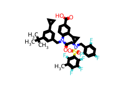 Cc1c(F)c(F)c(F)c(S(=O)(=O)N(CC(=O)N(Cc2cc(C3CC3)cc(C(C)(C)C)c2)c2ccc(C(=O)O)cc2C2CC2)Cc2c(F)cc(F)cc2F)c1F